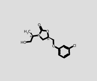 C[C@H](CO)N1C[C@H](COc2cccc(Cl)c2)OC1=O